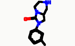 Cc1cccc(N2CC3CNCCN3C2=O)c1